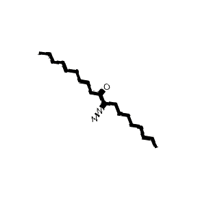 CCCCCCCCCC(=O)C(CCCCCCCC)=[N+]=[N-]